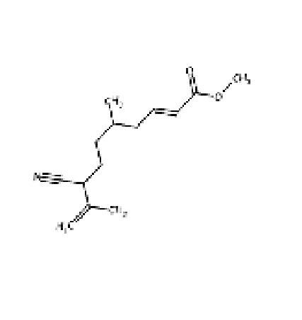 C=C(C)C(C#N)CCC(C)CC=CC(=O)OC